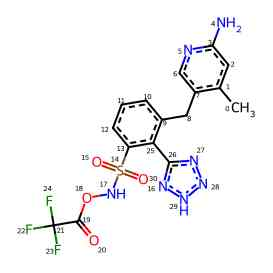 Cc1cc(N)ncc1Cc1cccc(S(=O)(=O)NOC(=O)C(F)(F)F)c1-c1nn[nH]n1